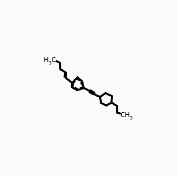 CCC/C=C/c1ccc(C#CC2CCC(CCC)CC2)cc1